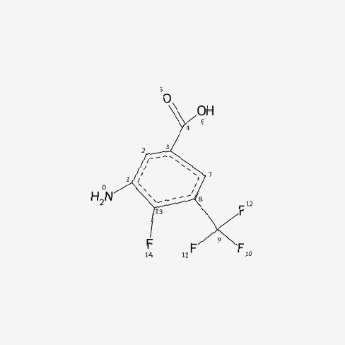 Nc1cc(C(=O)O)cc(C(F)(F)F)c1F